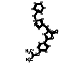 CC(C)Oc1ccc(C2=N/C(=C\c3cnn(CC4=CCCC=C4)c3)C(=O)O2)cc1